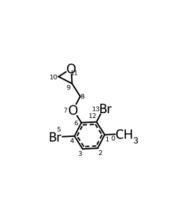 Cc1ccc(Br)c(OCC2CO2)c1Br